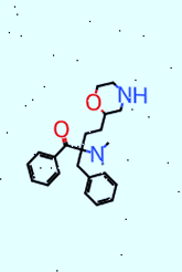 CN(C)C(CCC1CNCCO1)(Cc1ccccc1)C(=O)c1ccccc1